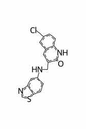 O=c1[nH]c2ccc(Cl)cc2cc1CNc1ccc2scnc2c1